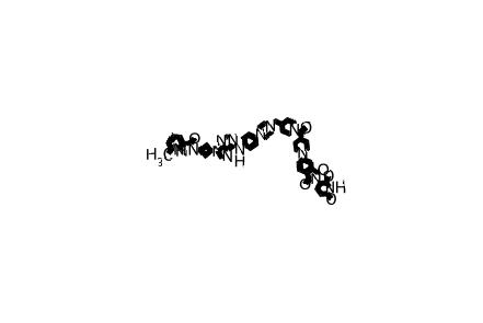 Cc1cccc(C(=O)NC2CC(n3cnc4c(Nc5ccc(N6CCN(CC7CCN(C(=O)C8CCN(c9ccc%10c(c9)C(=O)N([C@H]9CCC(=O)NC9=O)C%10=O)CC8)CC7)CC6)cc5)ncnc43)C2)n1